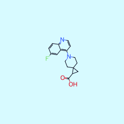 O=C(O)C1CC12CCN(c1ccnc3ccc(F)cc13)CC2